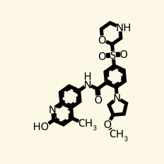 COC1CCN(c2ccc(S(=O)(=O)C3CNCCO3)cc2C(=O)Nc2ccc3nc(O)cc(C)c3c2)C1